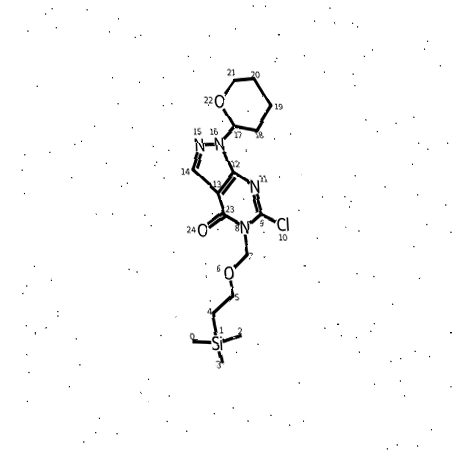 C[Si](C)(C)CCOCn1c(Cl)nc2c(cnn2C2CCCCO2)c1=O